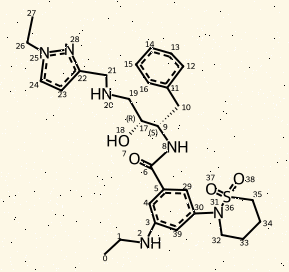 CCNc1cc(C(=O)N[C@@H](Cc2ccccc2)[C@H](O)CNCc2ccn(CC)n2)cc(N2CCCCS2(=O)=O)c1